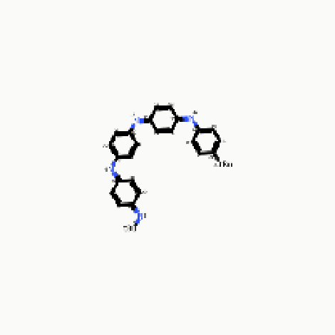 CC(C)(C)N=C1C=CC(=Nc2ccc(N=C3C=CC(=Nc4ccc(C(C)(C)C)cc4)C=C3)cc2)C=C1